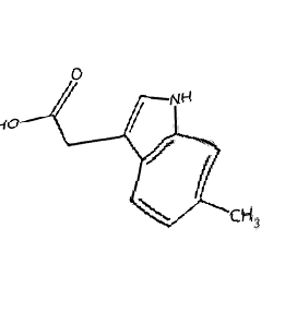 Cc1ccc2c(CC(=O)O)c[nH]c2c1